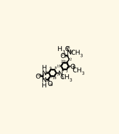 COc1cc(N(C)c2ccc3[nH]c(=O)[nH]c(=O)c3c2)ccc1CC(=O)N(C)C